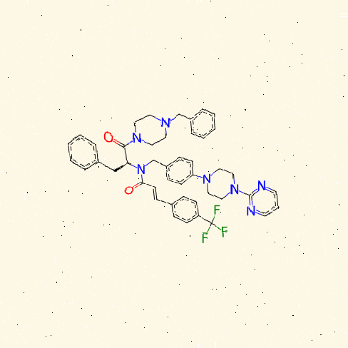 O=C([C@H](Cc1ccccc1)N(Cc1ccc(N2CCN(c3ncccn3)CC2)cc1)C(=O)C=Cc1ccc(C(F)(F)F)cc1)N1CCN(Cc2ccccc2)CC1